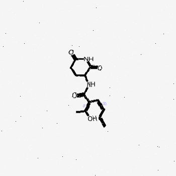 C=C/C=C\C(C(=O)NC1CCC(=O)NC1=O)=C(\C)O